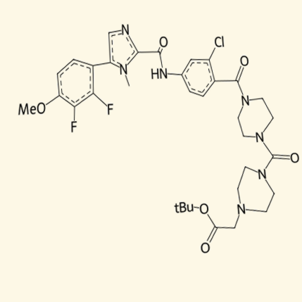 COc1ccc(-c2cnc(C(=O)Nc3ccc(C(=O)N4CCN(C(=O)N5CCN(CC(=O)OC(C)(C)C)CC5)CC4)c(Cl)c3)n2C)c(F)c1F